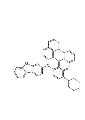 c1ccc(-c2cccc3cccc(-c4ccccc4N(c4ccc(C5CCCCC5)cc4)c4ccc5c(c4)oc4ccccc45)c23)cc1